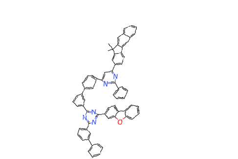 CC1(C)c2cc(-c3cc(-c4cccc(-c5cccc(-c6nc(-c7cccc(-c8ccccc8)c7)nc(-c7ccc8c(c7)oc7ccccc78)n6)c5)c4)nc(-c4ccccc4)n3)ccc2-c2cc3ccccc3cc21